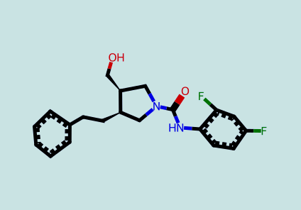 O=C(Nc1ccc(F)cc1F)N1C[C@@H](CCc2ccccc2)[C@@H](CO)C1